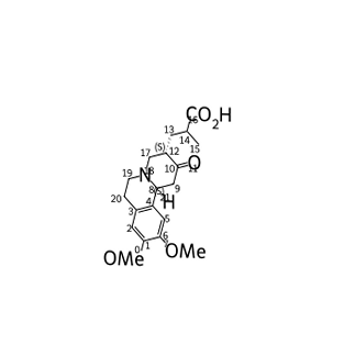 COc1cc2c(cc1OC)[C@@H]1CC(=O)[C@@H](CC(C)C(=O)O)CN1CC2